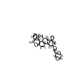 CC(Oc1ccc2c(c1)CCn1c-2cc(OCC2COCCO2)nc1=O)c1cc[nH]n1